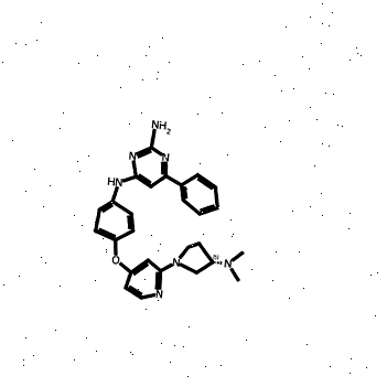 CN(C)[C@H]1CCN(c2cc(Oc3ccc(Nc4cc(-c5ccccc5)nc(N)n4)cc3)ccn2)C1